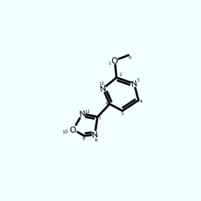 COc1nccc(-c2ncon2)n1